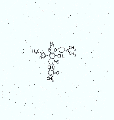 COc1c(O[C@H]2CC[C@H](N(C)C)CC2)c(C)c2c(c1-c1cnn(C)c1)CCN(Cc1c(C)cc(C)[nH]c1=O)C2=O